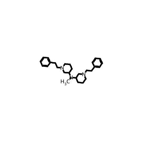 CN(C1CCCN(CCc2ccccc2)C1)C1CCCN(CCc2ccccc2)C1